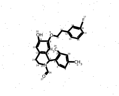 Cc1ccc(C2c3cc(OCCc4cccc(F)c4)c(O)cc3CCN2C=O)c(C)c1